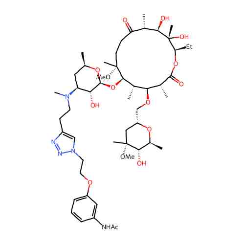 CC[C@H]1OC(=O)[C@H](C)[C@@H](OC[C@H]2C[C@@](C)(OC)[C@@H](O)[C@H](C)O2)[C@H](C)[C@@H](O[C@@H]2O[C@H](C)C[C@H](N(C)CCc3cn(CCOc4cccc(NC(C)=O)c4)nn3)[C@H]2O)[C@](C)(OC)CCC(=O)[C@H](C)[C@@H](O)[C@]1(C)O